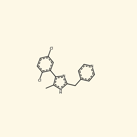 Cc1[nH]c(Cc2ccncc2)nc1-c1cc(Cl)ccc1Cl